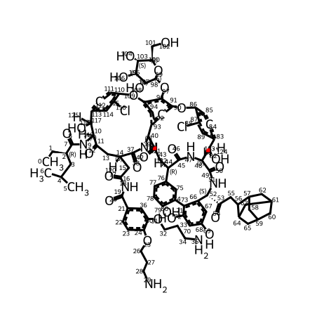 CC[C@H](CC(C)C)C(=O)N[C@H]1C(=O)C[C@@H](CC(=O)NC(=O)c2ccc(OCCCN)c(OCCCN)c2)C(=O)N[C@H]2C(=O)C[C@H]3C(=O)N[C@H](C(=O)N[C@H](C(=O)CC4C5CC6CC(C5)CC4C6)c4cc(O)cc(O)c4-c4cc3ccc4O)[C@H](O)c3ccc(c(Cl)c3)Oc3cc2cc(c3O[C@@H]2O[C@H](CO)[C@@H](O)[C@H](O)[C@H]2O)Oc2ccc(cc2Cl)[C@H]1O